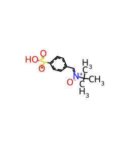 CC(C)(C)[N+]([O-])=Cc1ccc(S(=O)(=O)O)cc1